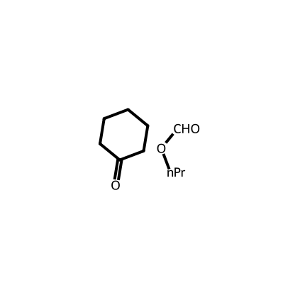 CCCOC=O.O=C1CCCCC1